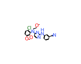 COCCN(c1ccnc(Nc2cccc(C#N)c2)n1)c1c(Cl)ccc2c1OCO2